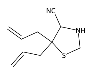 C=CCC1(CC=C)SCNC1C#N